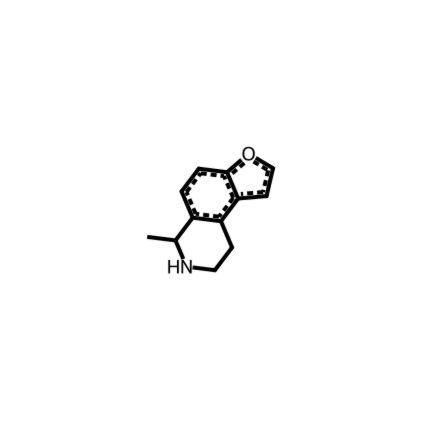 CC1NCCc2c1ccc1occc21